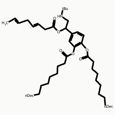 CC=CCC=CCC(=O)OC(CNC(C)(C)C)c1ccc(OC(=O)CCCCCCCCCCCCCCCCC)c(OC(=O)CCCCCCCCCCCCCCCCC)c1